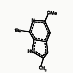 COc1cc2cc(C)[nH]c2c(C(C)(C)C)n1